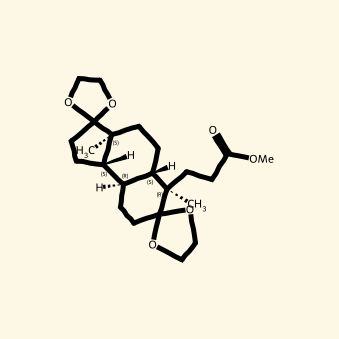 COC(=O)CC[C@]1(C)[C@H]2CC[C@@]3(C)[C@@H](CCC34OCCO4)[C@@H]2CCC12OCCO2